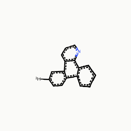 [2H]c1ccc2c3ccccc3c3ncccc3c2c1